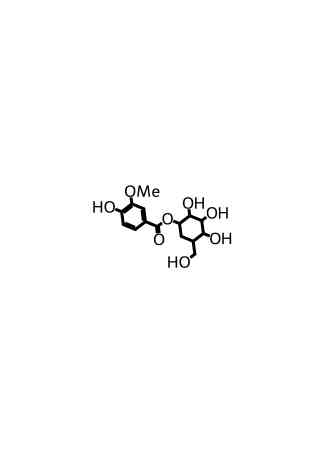 COc1cc(C(=O)OC2CC(CO)C(O)C(O)C2O)ccc1O